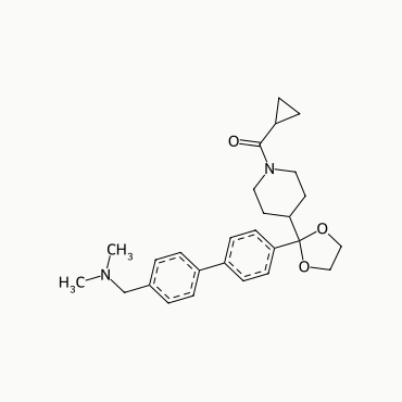 CN(C)Cc1ccc(-c2ccc(C3(C4CCN(C(=O)C5CC5)CC4)OCCO3)cc2)cc1